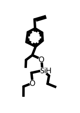 C=Cc1ccc(C(CC)O[SiH](CCC)COCC)cc1